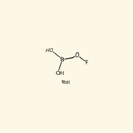 OB(O)OF.[RbH]